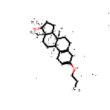 CCCOC1=CCC2=C(CC[C@@H]3[C@@H]2CC[C@@]2(CC)[C@H]3CC[C@]2(C)O)C1